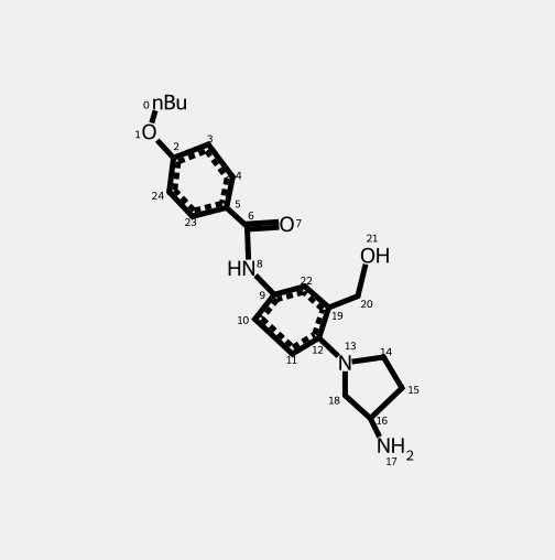 CCCCOc1ccc(C(=O)Nc2ccc(N3CCC(N)C3)c(CO)c2)cc1